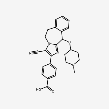 CN1CCC(OC2c3ccccc3CCn3c2nc(-c2ccc(C(=O)O)cc2)c3C#N)CC1